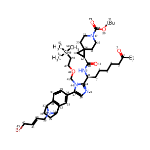 CCC(=O)CCCCC[C@H](NC(=O)[C@H]1CC12CCN(C(=O)OC(C)(C)C)CC2)c1ncc(-c2ccc3c(c2)C2CCC3N2C/C=C/CBr)n1COCC[Si](C)(C)C